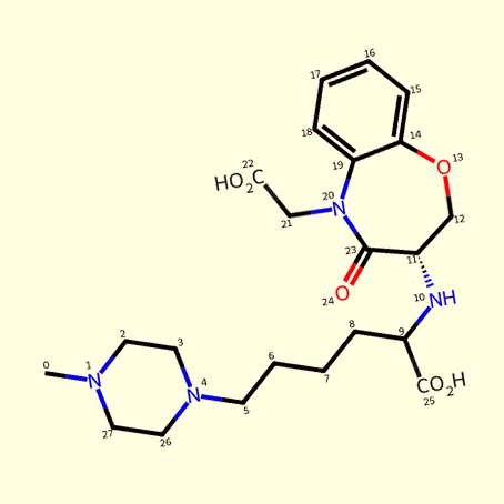 CN1CCN(CCCCC(N[C@H]2COc3ccccc3N(CC(=O)O)C2=O)C(=O)O)CC1